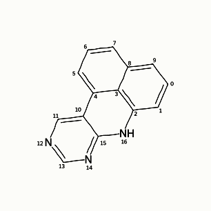 c1cc2c3c(cccc3c1)-c1cncnc1N2